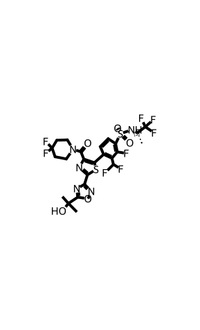 C[C@H](NS(=O)(=O)c1ccc(-c2sc(-c3noc(C(C)(C)O)n3)nc2C(=O)N2CCC(F)(F)CC2)c(C(F)F)c1F)C(F)(F)F